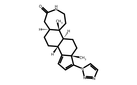 C[C@]12CC[C@H]3[C@@H](CC[C@H]4CC(=O)NCC[C@@]43C)C1=CC=C2n1ccnn1